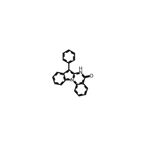 O=c1[nH]c2c(-c3ccccc3)c3ccccc3n2c2ccccc12